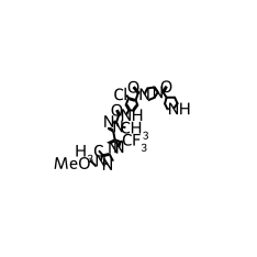 COCCn1ncc(-n2cc(-c3cnc(C(=O)Nc4ccc(C(=O)N5CCN(C(=O)C6CCNCC6)CC5)c(Cl)c4)n3C)c(C(F)(F)F)n2)c1C